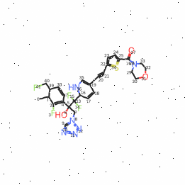 CC1C(F)=C(C(O)(Cn2cnnn2)C(F)(F)C2C=CC(C#Cc3ccc(C(=O)N4CCOCC4)s3)=CN2)C=CC1CF